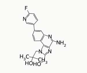 CC(C)(O)Cn1c(CO)nc2c(N)nc3cc(-c4ccc(F)nc4)ccc3c21